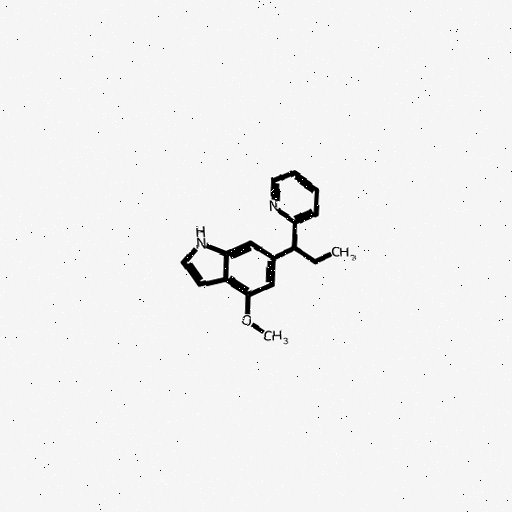 CCC(c1cc(OC)c2cc[nH]c2c1)c1ccccn1